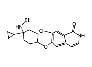 CCNC1(C2CC2)CCC(Oc2cc3cc[nH]c(=O)c3cc2Cl)CC1